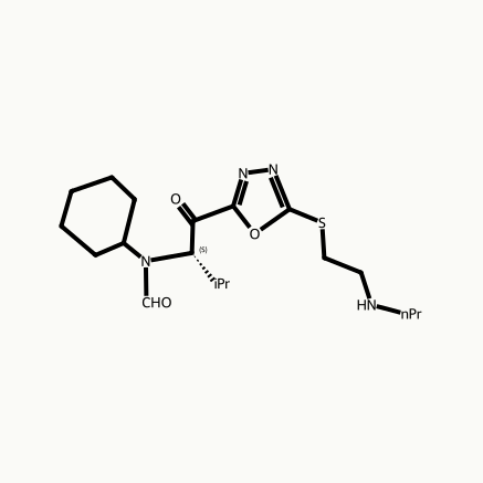 CCCNCCSc1nnc(C(=O)[C@H](C(C)C)N(C=O)C2CCCCC2)o1